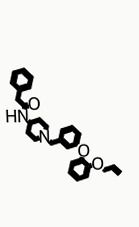 C=CCOc1ccccc1Oc1cccc(CN2CCC(NC(=O)Cc3ccccc3)CC2)c1